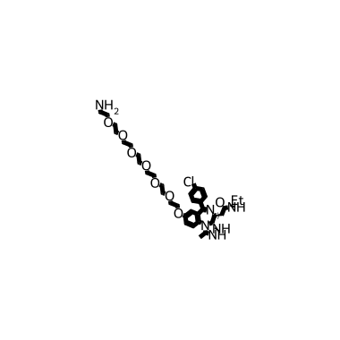 CCNC(=O)C[C@@H]1N=C(c2ccc(Cl)cc2)c2cc(OCCOCCOCCOCCOCCOCCOCCN)ccc2N2C(C)NNC12